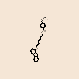 [O-][S+](NCCCCCCOC1=CC=CC2C3=CCCC=C3CC12)c1ccc(OC(F)(F)F)cc1